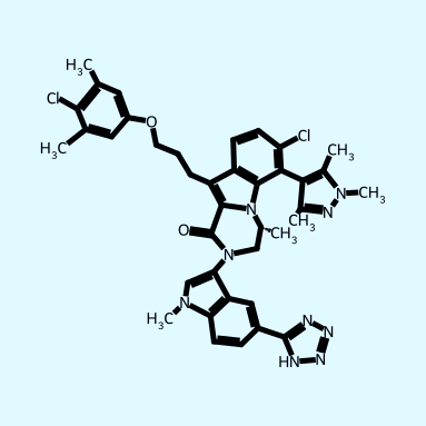 Cc1cc(OCCCc2c3n(c4c(-c5c(C)nn(C)c5C)c(Cl)ccc24)[C@H](C)CN(c2cn(C)c4ccc(-c5nnn[nH]5)cc24)C3=O)cc(C)c1Cl